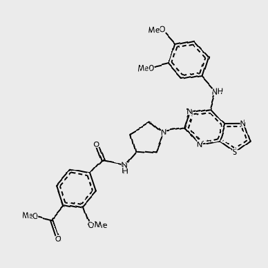 COC(=O)c1ccc(C(=O)NC2CCN(c3nc(Nc4ccc(OC)c(OC)c4)c4ncsc4n3)C2)cc1OC